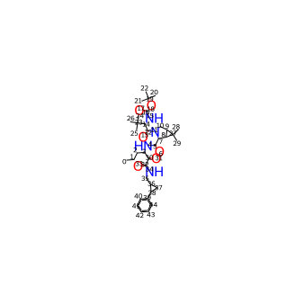 CCCC(NC(=O)C1C2C(CN1C(=O)[C@@H](NC(=O)OC(C)(C)C)C(C)(C)C)C2(C)C)C(=O)C(=O)NCC1CC1c1ccccc1